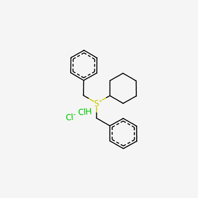 Cl.[Cl-].c1ccc(C[S+](Cc2ccccc2)C2CCCCC2)cc1